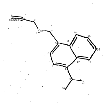 C#CCOCc1ccc(C(C)C)c2ccccc12